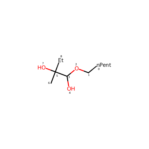 CCCCCCOC(O)C(C)(O)CC